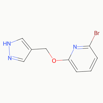 Brc1cccc(OCc2cn[nH]c2)n1